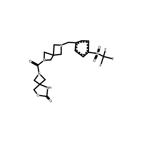 O=C1NC2(CO1)CN(C(=O)N1CC3(CN(Cc4ccc(S(=O)(=O)C(F)(F)F)cc4)C3)C1)C2